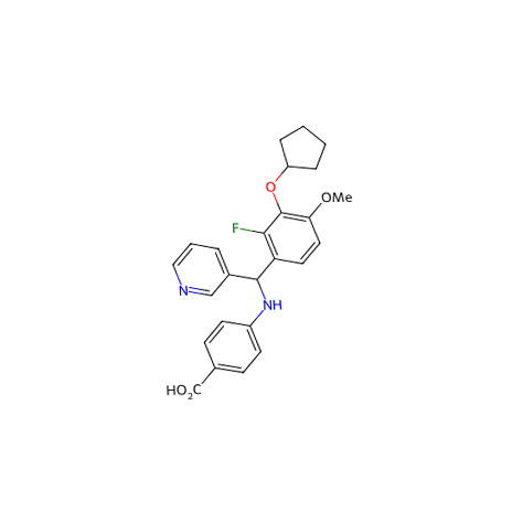 COc1ccc(C(Nc2ccc(C(=O)O)cc2)c2cccnc2)c(F)c1OC1CCCC1